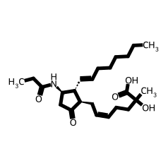 CCCCCC/C=C/[C@H]1[C@H](NC(=O)CC)CC(=O)[C@@H]1C/C=C\CCC(C)(O)C(=O)O